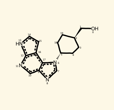 OC[C@H]1CC[C@H](n2cnc3cnc4[nH]ccc4c32)CC1